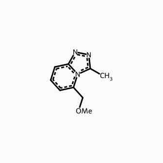 COCc1cccc2nnc(C)n12